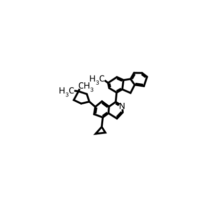 Cc1cc2c(c(-c3nccc4c(C5CC5)cc(C5CCC(C)(C)C5)cc34)c1)Cc1ccccc1-2